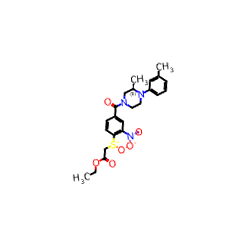 CCOC(=O)C[S+]([O-])c1ccc(C(=O)N2CCN(c3cccc(C)c3)[C@H](C)C2)cc1[N+](=O)[O-]